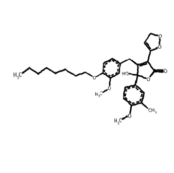 CCCCCCCCOc1ccc(CC2=C(C3=CCOO3)C(=O)OC2(O)c2ccc(OC)c(C)c2)cc1OC